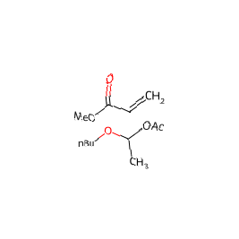 C=CC(=O)OC.CCCCOC(C)OC(C)=O